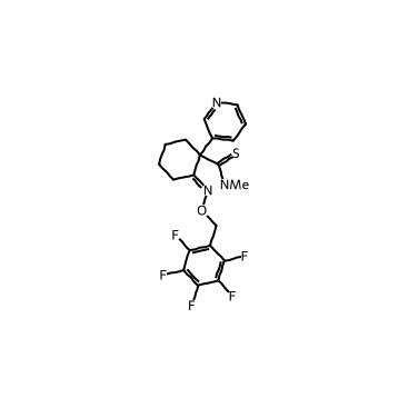 CNC(=S)C1(c2cccnc2)CCCCC1=NOCc1c(F)c(F)c(F)c(F)c1F